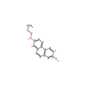 CCCOc1ccc2c(ccc3cc(F)ccc32)c1